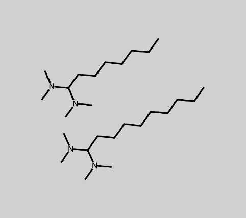 CCCCCCCC(N(C)C)N(C)C.CCCCCCCCCC(N(C)C)N(C)C